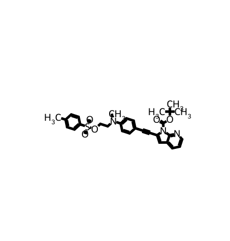 Cc1ccc(S(=O)(=O)OCCN(C)c2ccc(C#Cc3cc4cccnc4n3C(=O)OC(C)(C)C)cc2)cc1